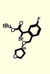 CC(C)(C)OC(=O)C(Br)c1cc(F)ccc1CO[C@H]1CCOC1